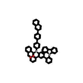 c1ccc(-c2cc(-c3ccccc3-n3c4ccccc4c4ccccc43)ccc2N(c2ccc(-c3ccc(-c4ccc5ccccc5c4)cc3)cc2)c2cccc3ccccc23)cc1